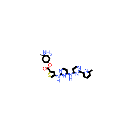 Cc1cccc(-c2nccc(Nc3ccnc(Nc4csc(C(=O)O[C@H]5CC[C@@](C)(N)CC5)c4)n3)n2)n1